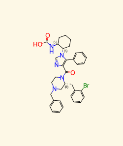 O=C(O)N[C@H]1CCCC[C@@H]1n1cnc(C(=O)N2CCN(Cc3ccccc3)C[C@H]2Cc2ccccc2Br)c1-c1ccccc1